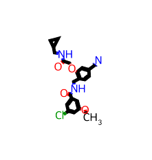 COc1cc(Cl)cc(C(=O)NCc2ccc(C#N)cc2OCC(=O)NCC2CC2)c1